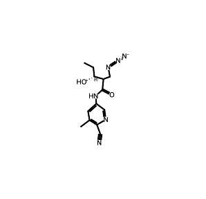 CC[C@@H](O)C(CN=[N+]=[N-])C(=O)Nc1cnc(C#N)c(C)c1